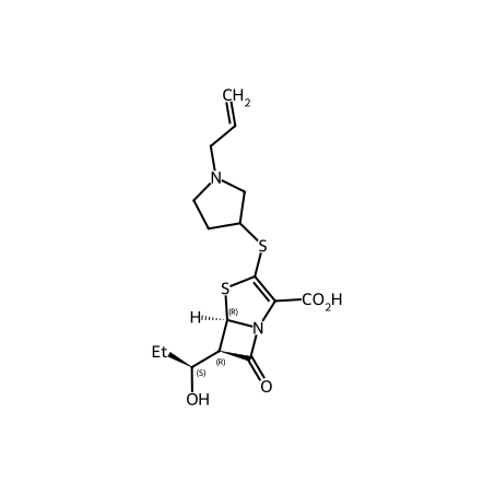 C=CCN1CCC(SC2=C(C(=O)O)N3C(=O)[C@@H]([C@@H](O)CC)[C@H]3S2)C1